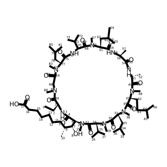 CC[C@@H]1NC(=O)[C@H]([C@H](O)[C@H](C)CCCCCCC(=O)O)N(C)C(=O)[C@H](C(C)C)N(C)C(=O)[C@H](CC(C)C)N(C)C(=O)[C@H](CCC(C)C)N(C)C(=O)[C@@H](C)NC(=O)[C@H](C)NC(=O)[C@H](CC(C)C)N(C)C(=O)C(C(C)C)NC(=O)[C@H](CC(C)C)N(C)C(=O)CN(C)C1=O